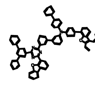 C=Cc1oc2c(-c3ccc(N(c4ccc(-c5ccccc5)cc4)c4cccc(-c5cccc(-c6nc(-c7cc(-c8ccccc8)cc(-c8ccccc8)c7)nc(-c7cccc8c7oc7ccccc78)n6)c5)c4)cc3)cccc2c1/C=C\C